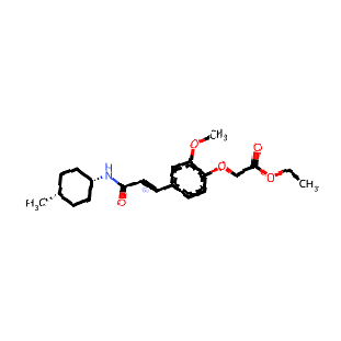 CCOC(=O)COc1ccc(/C=C/C(=O)N[C@H]2CC[C@@H](C)CC2)cc1OC